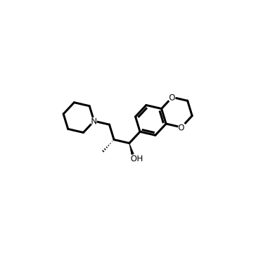 C[C@H](CN1CCCCC1)[C@H](O)c1ccc2c(c1)OCCO2